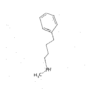 CPCCCCc1ccccc1